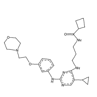 O=C(NCCCNc1nc(Nc2cccc(OCCN3CCOCC3)c2)ncc1C1CC1)C1CCC1